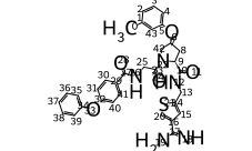 Cc1cccc(O[C@H]2C[C@@H](C(=O)NCc3cc(C(=N)N)cs3)N(C(=O)CNC(=O)c3ccc(Oc4ccccc4)cc3)C2)c1